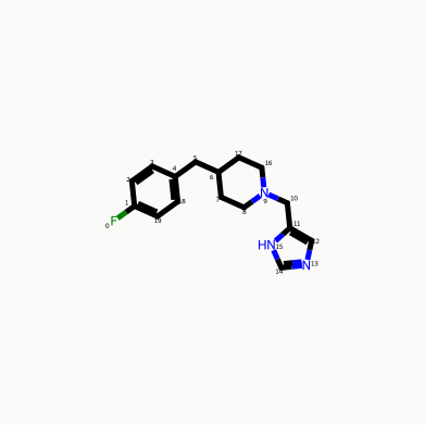 Fc1ccc(CC2CCN(Cc3cnc[nH]3)CC2)cc1